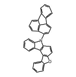 c1ccc2c(c1)-c1cccc3c(-n4c5ccccc5c5c6c(ccc54)oc4ccccc46)ccc-2c13